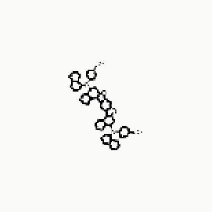 CC(C)c1ccc(N(c2cccc3ccccc23)c2cc3oc4cc5oc6cc(N(c7ccc(C(C)C)cc7)c7cccc8ccccc78)c7ccccc7c6c5cc4c3c3ccccc23)cc1